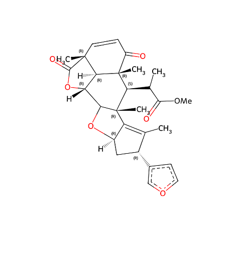 COC(=O)C(C)[C@@H]1[C@@]2(C)C(=O)C=C[C@@]3(C)C(=O)O[C@@H](C4O[C@@H]5C[C@@H](c6ccoc6)C(C)=C5[C@]41C)[C@H]23